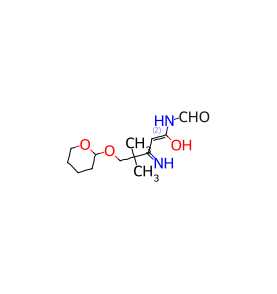 CC(C)(COC1CCCCO1)C(=N)/C=C(\O)NC=O